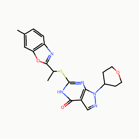 Cc1ccc2nc(C(C)Sc3nc4c(cnn4C4CCOCC4)c(=O)[nH]3)oc2c1